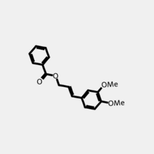 COc1ccc(C=CCOC(=O)c2ccccc2)cc1OC